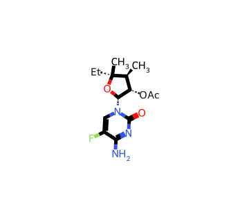 CC[C@@]1(C)O[C@@H](n2cc(F)c(N)nc2=O)[C@@H](OC(C)=O)[C@@H]1C